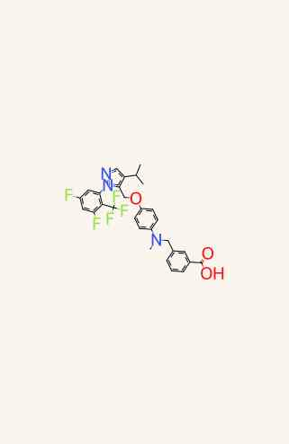 CC(C)c1cnn(-c2cc(F)cc(F)c2C(F)(F)F)c1COc1ccc(N(C)Cc2cccc(C(=O)O)c2)cc1